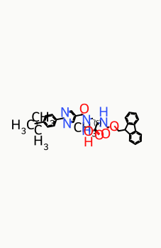 Cc1nc(-c2ccc(C(C)(C)C)cc2)ncc1C(=O)NC[C@H](NC(=O)OCC1c2ccccc2-c2ccccc21)C(=O)O